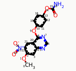 COc1cc2ncnc(Oc3ccc(OC(N)=O)cc3)c2cc1[N+](=O)[O-]